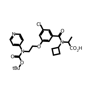 CC(C(=O)O)N(C(=O)c1cc(Cl)cc(OCCN(C(=O)OC(C)(C)C)c2ccncc2)c1)C1CCC1